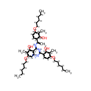 C=C(/N=C(\N=C(/N)c1ccc(OCCCCCC)c(C)c1O)c1ccc(OCCCCCC)c(C)c1O)c1ccc(OCCCCCC)c(C)c1O